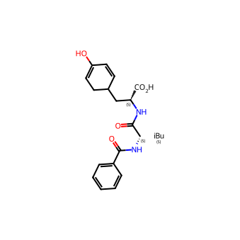 CC[C@H](C)[C@H](NC(=O)c1ccccc1)C(=O)N[C@@H](CC1C=CC(O)=CC1)C(=O)O